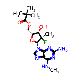 CNc1nc(N)nc2c1ncn2[C@@H]1O[C@H](COC(=O)C(C)(C)C)[C@@H](O)[C@@]1(C)F